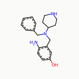 Nc1ccc(O)cc1CN(Cc1ccccc1)C1CCNCC1